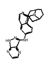 FC1(F)CC2CCC(C1)N2c1nccc2cc(Nc3n[nH]c4nccnc34)ccc12